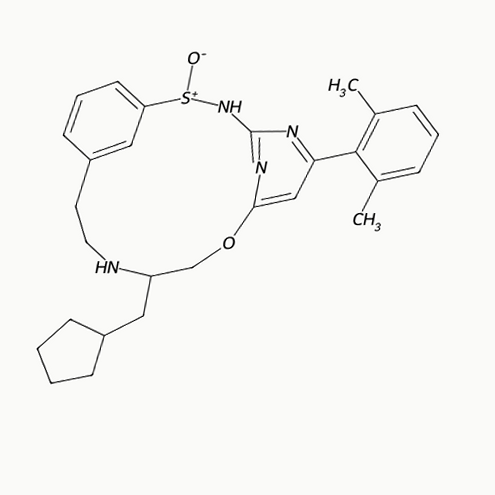 Cc1cccc(C)c1-c1cc2nc(n1)N[S+]([O-])c1cccc(c1)CCNC(CC1CCCC1)CO2